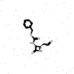 O=CC[C@H]1NC(=O)[C@H]1NC(=O)OCc1ccccc1